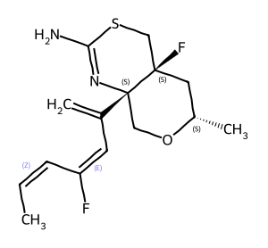 C=C(/C=C(F)\C=C/C)[C@]12CO[C@@H](C)C[C@@]1(F)CSC(N)=N2